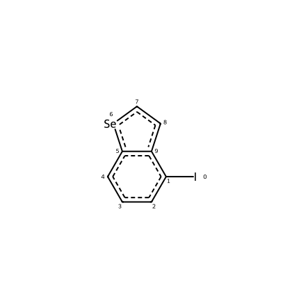 Ic1cccc2[se]ccc12